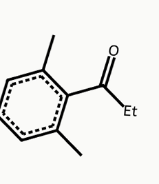 [CH2]CC(=O)c1c(C)cccc1C